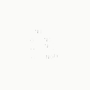 O=[N+]([O-])[O-].O=[N+]([O-])[O-].O=[N+]([O-])[O-].[Nd+3].[Pr]